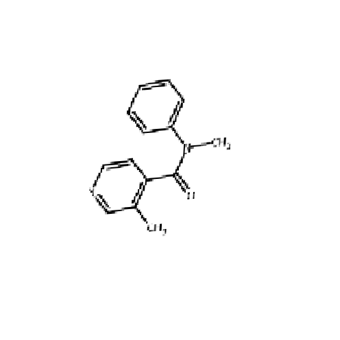 Cc1cnccc1C(=O)N(C)c1ccccc1